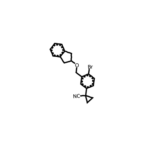 N#CC1(c2ccc(Br)c(COC3Cc4ccccc4C3)c2)CC1